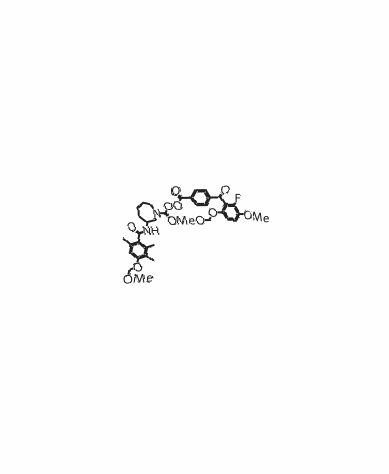 COCOc1cc(C)c(C(=O)NC2CCCCN(C(=O)OOC(=O)c3ccc(C(=O)c4c(OCOC)ccc(OC)c4F)cc3)C2)c(C)c1C